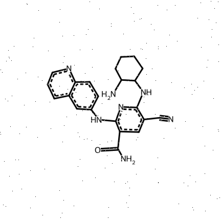 N#Cc1cc(C(N)=O)c(Nc2ccc3ncccc3c2)nc1NC1CCCCC1N